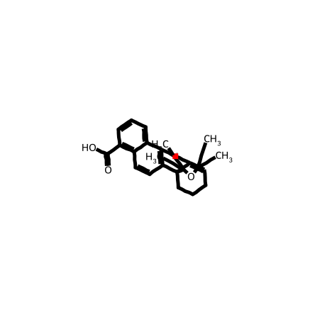 CC1(C)OC(C)(C)C23CCCC1=C2C=Cc1c3ccc2c(C(=O)O)cccc12